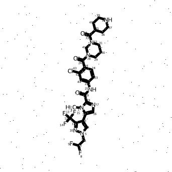 Cn1c(-c2cn(CC(F)F)nc2C(F)(F)F)cnc1C(=O)Nc1ccc(C(=O)N2CCCN(C(=O)C3CCNCC3)C2)c(Cl)c1